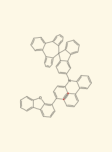 c1ccc(-c2ccccc2N(c2ccc(-c3cccc4c3oc3ccccc34)cc2)c2ccc3c(c2)-c2ccccc2C32c3ccccc3-c3ccccc3-c3ccccc32)cc1